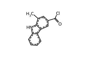 Cc1cc(C(=O)Cl)cc2c1[nH]c1ccccc12